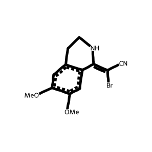 COc1cc2c(cc1OC)C(=C(Br)C#N)NCC2